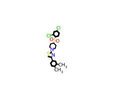 Cc1ccc(-c2csc(N3CCC(S(=O)(=O)c4ccc(Cl)cc4Cl)CC3)n2)cc1C